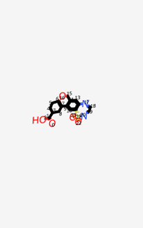 O=C(O)C1CCC2=C(C1)c1cc3c(cc1CO2)N=CC=NS3(=O)=O